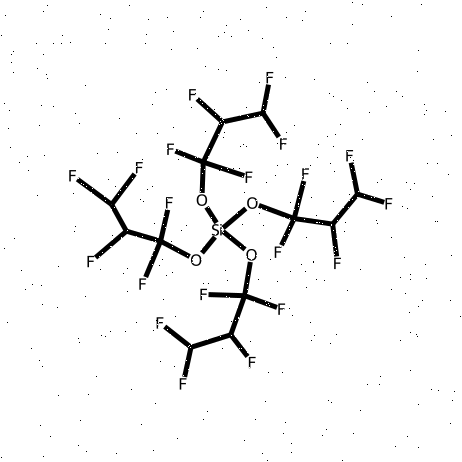 FC(F)C(F)C(F)(F)O[Si](OC(F)(F)C(F)C(F)F)(OC(F)(F)C(F)C(F)F)OC(F)(F)C(F)C(F)F